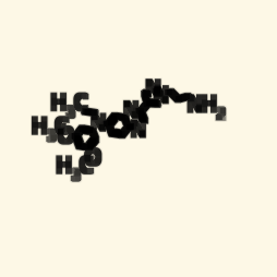 CCCN(c1cc(OC)cc(OC)c1)c1ccc2ncc(-c3cnn(CCCN)c3)nc2c1